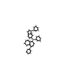 c1ccc(-c2ccc(N(c3ccccc3)c3ccc4ccn(-c5ccccc5)c4c3)c3ccccc23)cc1